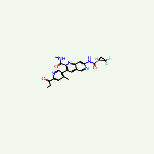 CCC(=O)c1cc(C)c(-c2cc3cnc(NC(=O)[C@H]4CC4(F)F)cc3nc2C(=O)NC)cn1